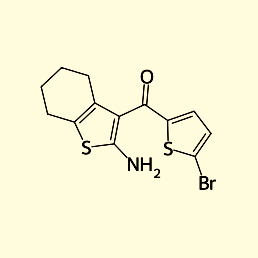 Nc1sc2c(c1C(=O)c1ccc(Br)s1)CCCC2